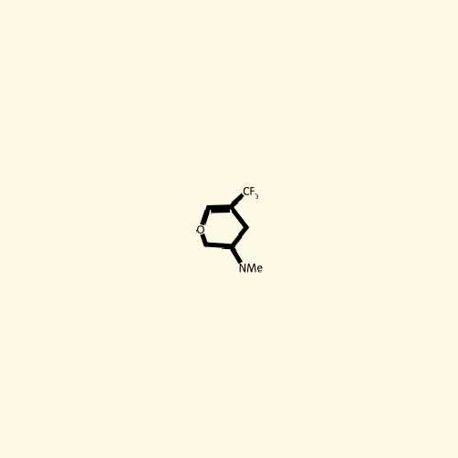 CNC1COC=C(C(F)(F)F)C1